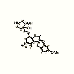 COc1ccc(CN2C(=O)CCc3c(OCC4(O)CCNCC4O)ccc(F)c32)cc1.Cl